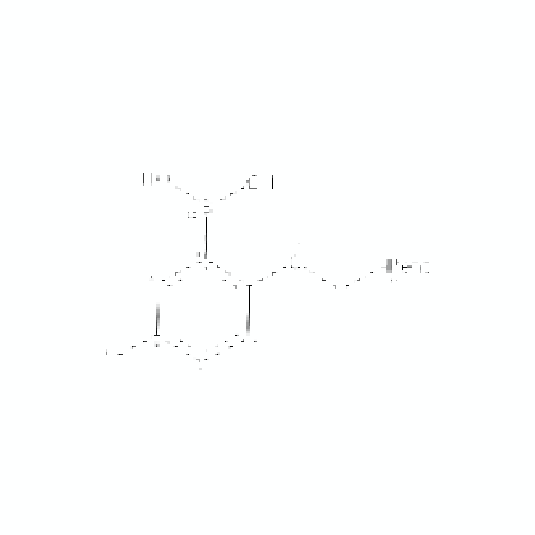 CCCC(C)COc1ccc(C)cc1B(O)O